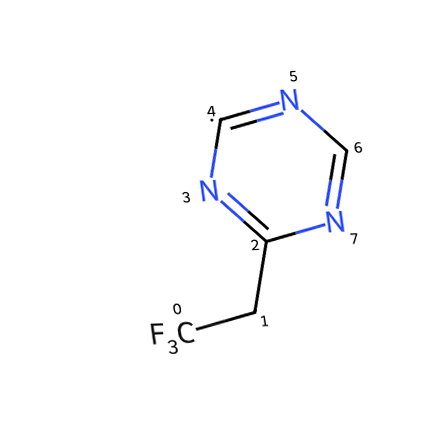 FC(F)(F)Cc1n[c]ncn1